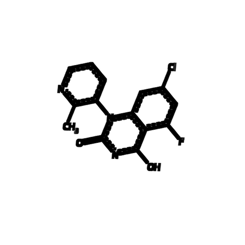 Cc1ncccc1-n1c(=O)nc(O)c2c(F)cc(Cl)cc21